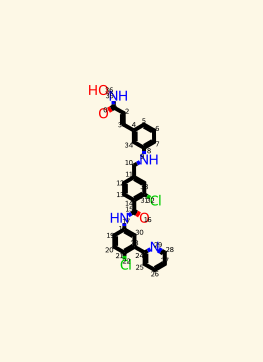 O=C(/C=C/c1cccc(NCc2ccc(C(=O)Nc3ccc(Cl)c(-c4ccccn4)c3)c(Cl)c2)c1)NO